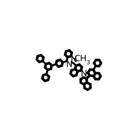 CN1c2ccccc2C(c2ccc(-c3cc(-c4ccccc4)cc(-c4ccccc4)c3)cc2)=NC1c1ccc(-n2c3ccc4ccccc4c3c3c4ccccc4c(-c4ccccc4)cc32)c2ccccc12